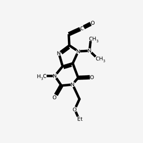 CCOCn1c(=O)c2c(nc(C=C=O)n2N(C)C)n(C)c1=O